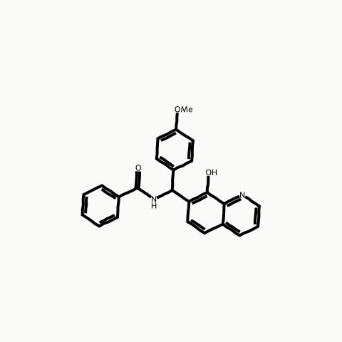 COc1ccc(C(NC(=O)c2ccccc2)c2ccc3cccnc3c2O)cc1